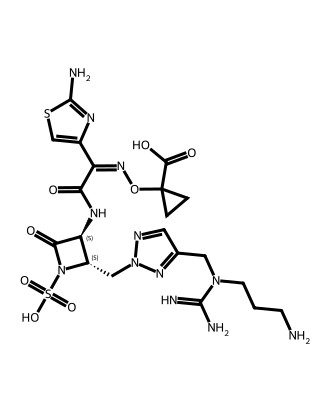 N=C(N)N(CCCN)Cc1cnn(C[C@H]2[C@H](NC(=O)C(=NOC3(C(=O)O)CC3)c3csc(N)n3)C(=O)N2S(=O)(=O)O)n1